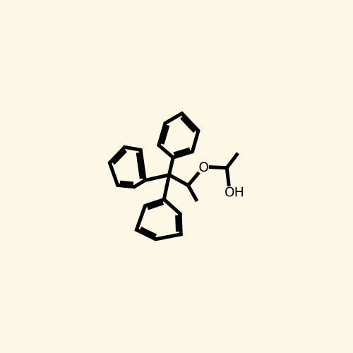 CC(O)OC(C)C(c1ccccc1)(c1ccccc1)c1ccccc1